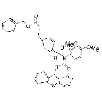 COc1ccc(N(C(=O)Oc2c3ccccc3nc3ccccc23)S(=O)(=O)c2ccc(CCC(=O)OCc3ccccc3)cc2)c(OC)c1